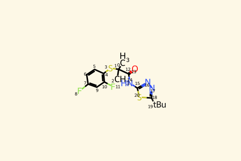 CC(C)(Sc1ccc(F)cc1F)C(=O)Nc1nnc(C(C)(C)C)s1